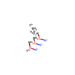 [N-2][O][AlH2].[N-2][O][AlH2].[N-2][O][AlH2].[SiH4].[SiH4].[Y+3].[Y+3]